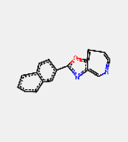 C1=CC=c2oc(-c3ccc4ccccc4c3)nc2=CN=1